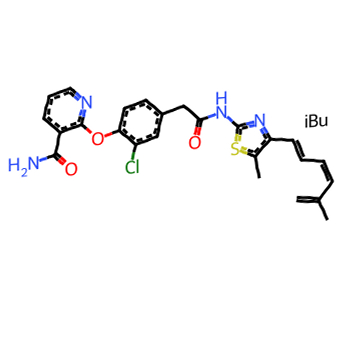 C=C(C)/C=C\C=C(\c1nc(NC(=O)Cc2ccc(Oc3ncccc3C(N)=O)c(Cl)c2)sc1C)[C@H](C)CC